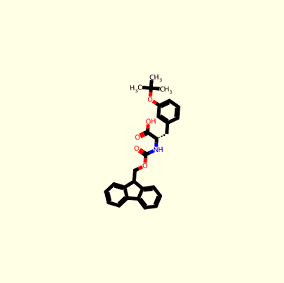 CC(C)(C)Oc1cccc(C[C@H](NC(=O)OCC2c3ccccc3-c3ccccc32)C(=O)O)c1